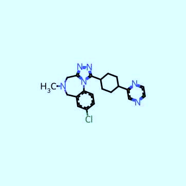 CN1Cc2cc(Cl)ccc2-n2c(nnc2C2CCC(c3cnccn3)CC2)C1